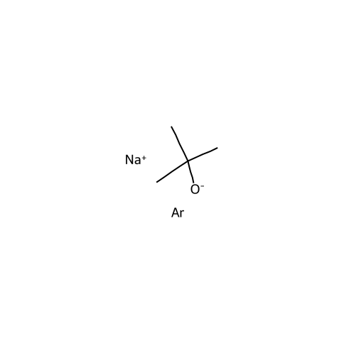 CC(C)(C)[O-].[Ar].[Na+]